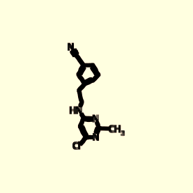 Cc1nc(Cl)cc(NCCc2cccc(C#N)c2)n1